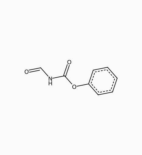 O=CNC(=O)Oc1ccccc1